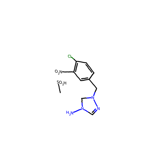 CS(=O)(=O)O.NN1C=NN(Cc2ccc(Cl)c([N+](=O)[O-])c2)C1